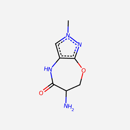 Cn1cc2c(n1)OCC(N)C(=O)N2